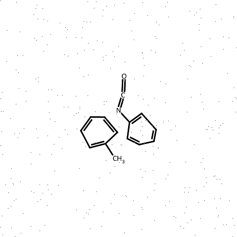 Cc1ccccc1.O=C=Nc1ccccc1